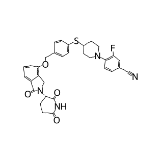 N#Cc1ccc(N2CCC(Sc3ccc(COc4cccc5c4CN([C@H]4CCC(=O)NC4=O)C5=O)cc3)CC2)c(F)c1